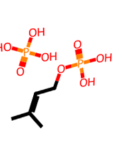 CC(C)=CCOP(=O)(O)O.O=P(O)(O)O